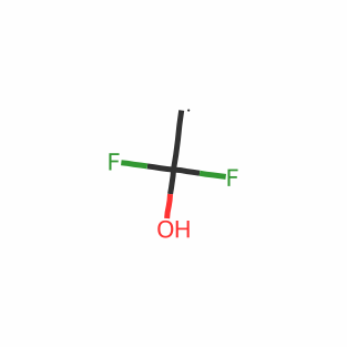 [CH2]C(O)(F)F